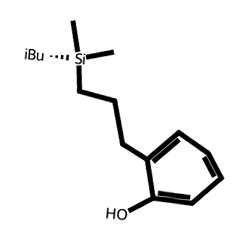 CC[C@@H](C)[Si](C)(C)CCCc1ccccc1O